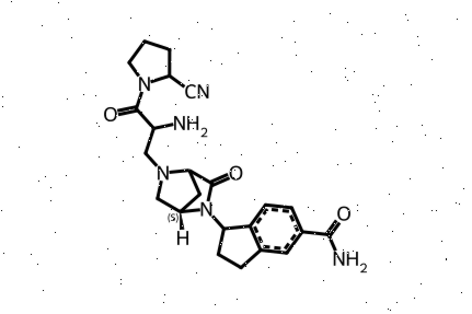 N#CC1CCCN1C(=O)C(N)CN1C[C@@H]2CC1C(=O)N2C1CCc2cc(C(N)=O)ccc21